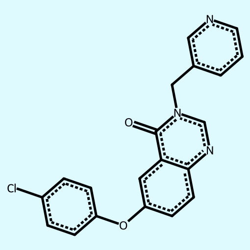 O=c1c2cc(Oc3ccc(Cl)cc3)ccc2ncn1Cc1cccnc1